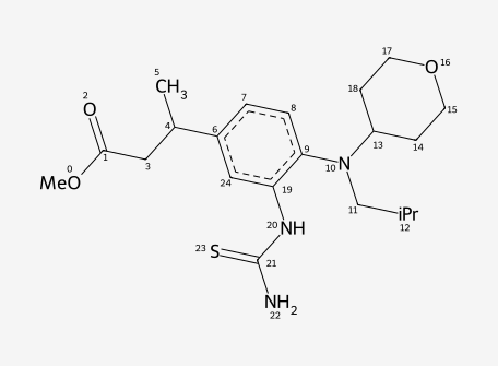 COC(=O)CC(C)c1ccc(N(CC(C)C)C2CCOCC2)c(NC(N)=S)c1